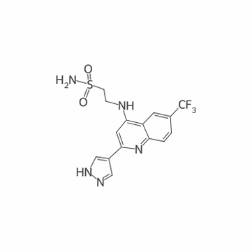 NS(=O)(=O)CCNc1cc(-c2cn[nH]c2)nc2ccc(C(F)(F)F)cc12